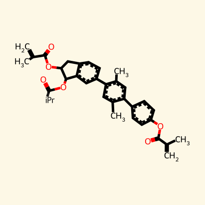 C=C(C)C(=O)Oc1ccc(-c2cc(C)c(-c3ccc4c(c3)C(OC(=O)C(C)C)C(OC(=O)C(=C)C)C4)cc2C)cc1